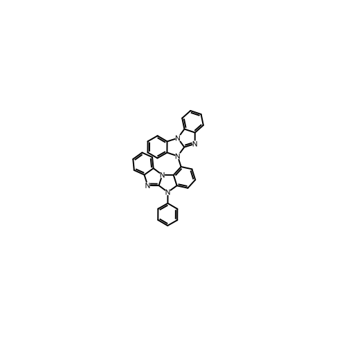 c1ccc(-n2c3cccc(-n4c5ccccc5n5c6ccccc6nc45)c3n3c4ccccc4nc23)cc1